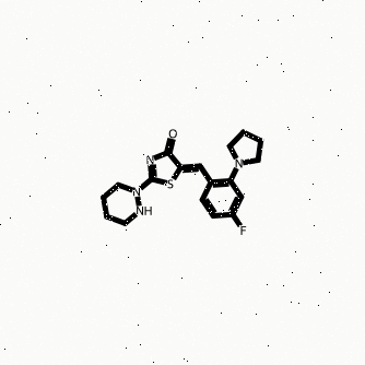 O=C1N=C(N2CCCCN2)S/C1=C\c1ccc(F)cc1N1CCCC1